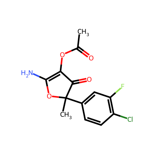 CC(=O)OC1=C(N)OC(C)(c2ccc(Cl)c(F)c2)C1=O